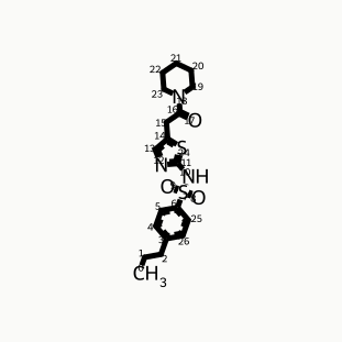 CCCc1ccc(S(=O)(=O)Nc2ncc(CC(=O)N3CCCCC3)s2)cc1